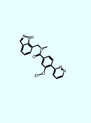 CCOc1cc(C(=O)N(C)Cc2cccc3cn[nH]c23)ccc1-c1cccnn1